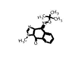 Cn1cnc2c1C(=O)c1ccccc1/C2=N\OC(C)(C)C